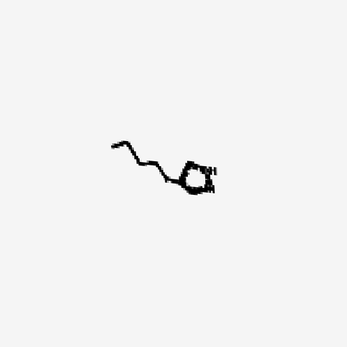 CCCC[CH]c1cn[nH]c1